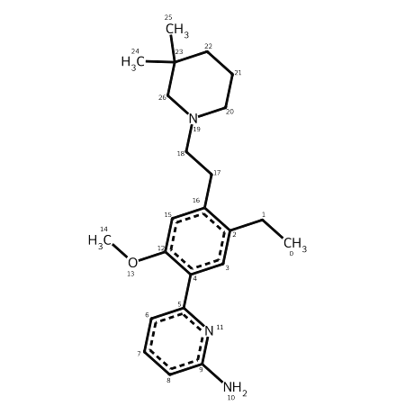 CCc1cc(-c2cccc(N)n2)c(OC)cc1CCN1CCCC(C)(C)C1